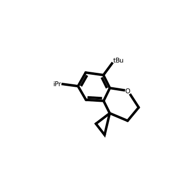 CC(C)c1cc(C(C)(C)C)c2c(c1)C1(CCO2)CC1